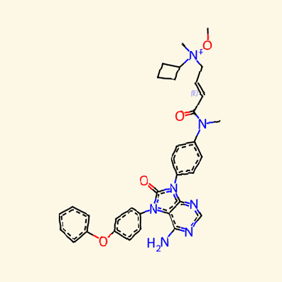 CO[N+](C)(C/C=C/C(=O)N(C)c1ccc(-n2c(=O)n(-c3ccc(Oc4ccccc4)cc3)c3c(N)ncnc32)cc1)C1CCC1